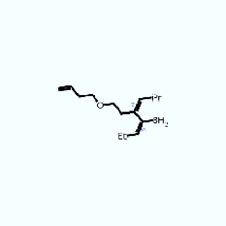 BC(=C/CC)/C(=C\C(C)C)CCOCCC=C